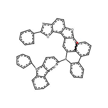 c1ccc(-c2nc3ccc4oc5ccc(N(c6ccc7c(c6)c6ccccc6n7-c6ccccc6)c6ccccc6-c6ccccc6)cc5c4c3o2)cc1